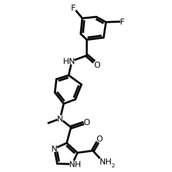 CN(C(=O)c1nc[nH]c1C(N)=O)c1ccc(NC(=O)c2cc(F)cc(F)c2)cc1